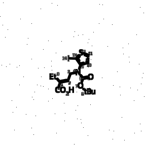 CC/C(=C\CN(C(=O)OC(C)(C)C)c1ccsc1I)C(=O)O